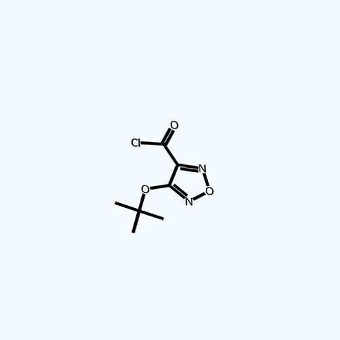 CC(C)(C)Oc1nonc1C(=O)Cl